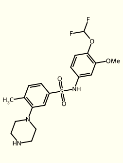 COc1cc(NS(=O)(=O)c2ccc(C)c(N3CCNCC3)c2)ccc1OC(F)F